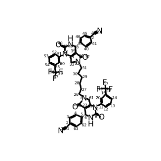 N#Cc1ccc([C@H]2NC(=O)N(c3cccc(C(F)(F)F)c3)C3=C2C(=O)N(CCCCCCN2CC4=C(C2=O)[C@@H](c2ccc(C#N)cc2)NC(=O)N4c2cccc(C(F)(F)F)c2)C3)cc1